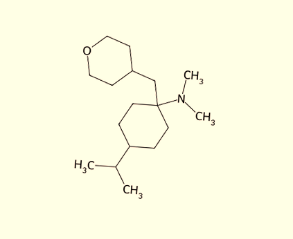 CC(C)C1CCC(CC2CCOCC2)(N(C)C)CC1